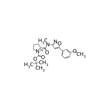 COc1cccc(-c2cc(N(C)C(=O)[C@@H]3CCCN3C(=O)OC(C)(C)C)no2)c1